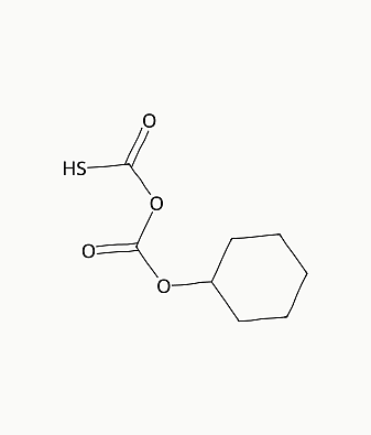 O=C(S)OC(=O)OC1CCCCC1